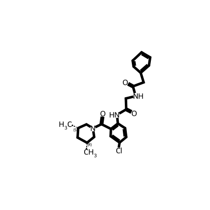 C[C@@H]1C[C@H](C)CN(C(=O)c2cc(Cl)ccc2NC(=O)CNC(=O)Cc2ccccc2)C1